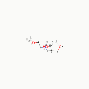 COCCN1CC2COCC(C1)C2O